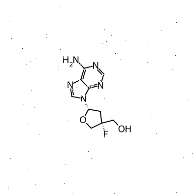 Nc1ncnc2c1ncn2[C@@H]1C[C@@](F)(CO)CO1